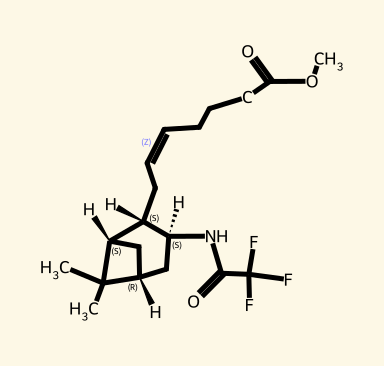 COC(=O)CCC/C=C\C[C@@H]1[C@@H](NC(=O)C(F)(F)F)C[C@H]2C[C@@H]1C2(C)C